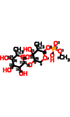 COP(=O)(O)O[C@H]1OC[C@@H](O[C@H]2OC(C)[C@H](O)[C@H](O)C2O)C(O)(O)C1C